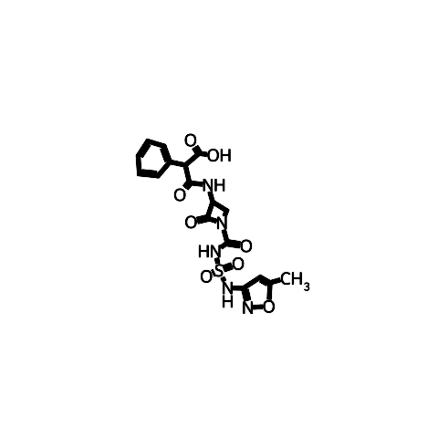 Cc1cc(NS(=O)(=O)NC(=O)N2CC(NC(=O)C(C(=O)O)c3ccccc3)C2=O)no1